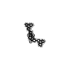 O=c1c2ccc(-c3ccc4c5ccccc5c5ccccc5c4c3)cc2oc2c1ccc1oc3cc(-c4ccc5c6ccccc6c6ccccc6c5c4)ccc3c(=O)c12